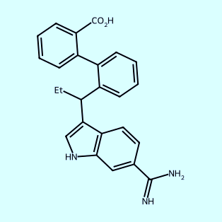 CCC(c1ccccc1-c1ccccc1C(=O)O)c1c[nH]c2cc(C(=N)N)ccc12